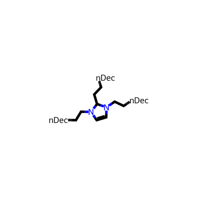 CCCCCCCCCCCCC1N(CCCCCCCCCCCC)C=CN1CCCCCCCCCCCC